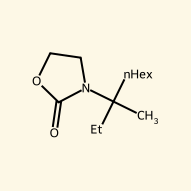 CCCCCCC(C)(CC)N1CCOC1=O